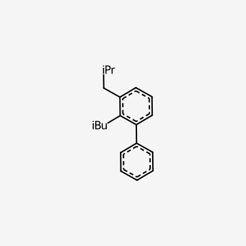 CCC(C)c1c(CC(C)C)cccc1-c1ccccc1